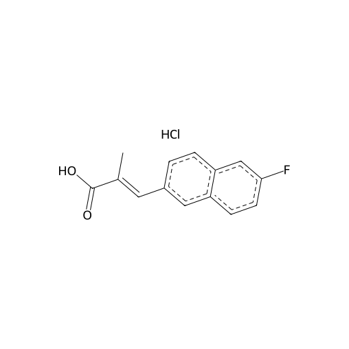 C/C(=C\c1ccc2cc(F)ccc2c1)C(=O)O.Cl